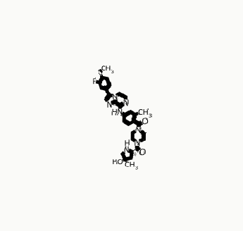 COc1ccc(-c2cnc3c(Nc4ccc(C(=O)N5CCN(C(=O)[C@@H]6C[C@](C)(O)CN6)CC5)c(C)c4)nccn23)cc1F